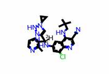 [2H][C@](Nc1cc(Cl)c2ncc(C#N)c(NCC(C)(C)C)c2c1)(C1=CN(C2CC2)NN1)c1cccnc1C